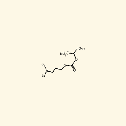 CCCCCCCCC(OC(=O)OCCCN(CC)CC)C(=O)O